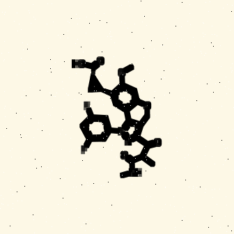 CNC(=O)C(C)C(=O)c1nn(-c2cc(F)cc(F)c2)c2c1COc1cc(OC)c([C@H]3C[C@@H]3C(=O)O)cc1-2